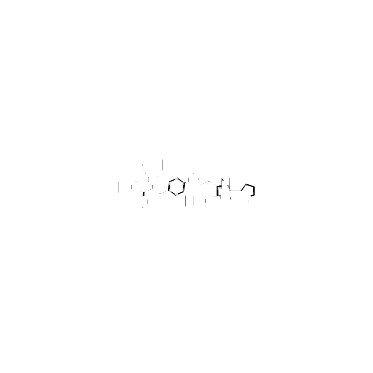 CCO[C@@H](Cc1ccc(OCCc2nc(-c3cccs3)oc2C)cc1)C(=O)O